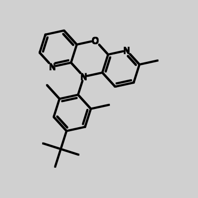 Cc1ccc2c(n1)Oc1cccnc1N2c1c(C)cc(C(C)(C)C)cc1C